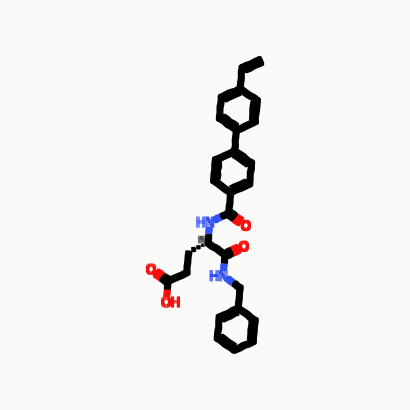 C=Cc1ccc(-c2ccc(C(=O)N[C@@H](CCC(=O)O)C(=O)NCc3ccccc3)cc2)cc1